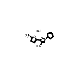 Cl.Nc1cn(-c2ccccc2)nc1-c1ccc([N+](=O)[O-])o1